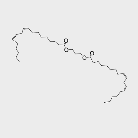 CCCCC/C=C\C/C=C\CCCCCCCC(=O)OCCCOC(=O)CCCCCCC/C=C\C/C=C\CCCCC